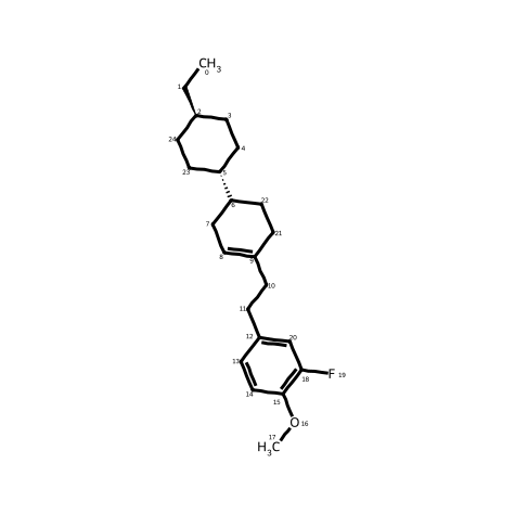 CC[C@H]1CC[C@H](C2CC=C(CCc3ccc(OC)c(F)c3)CC2)CC1